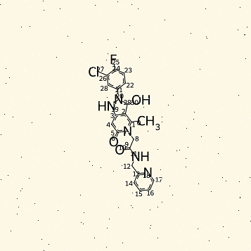 Cc1c2c(cc(=O)n1CC(=O)NCc1ccccn1)NN(c1ccc(F)c(Cl)c1)C2O